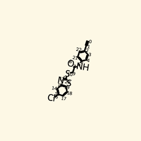 C#Cc1ccc(NC(=O)CSc2nc3cc(Cl)ccc3s2)cc1